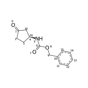 O=C1CC[C@H](NC(=O)OCc2ccccc2)C1